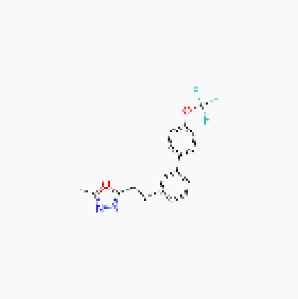 Cc1nnc(C[CH]c2cccc(-c3ccc(OC(F)(F)F)cc3)c2)o1